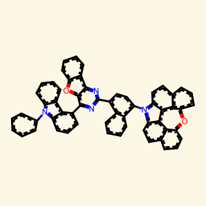 c1ccc(-n2c3ccccc3c3c(-c4nc(-c5ccc(-n6c7ccc8cccc9oc%10cccc%11ccc6c(c%11%10)c7c89)c6ccccc56)nc5c4oc4ccccc45)cccc32)cc1